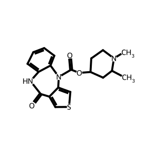 CC1CC(OC(=O)N2c3ccccc3NC(=O)c3cscc32)CCN1C